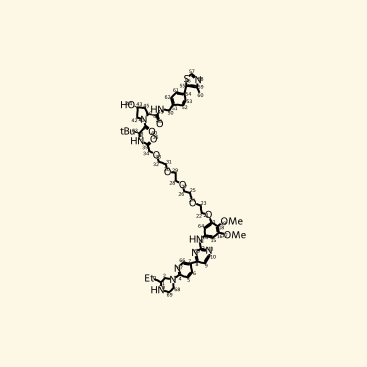 CCC1CN(c2ccc(-c3ccnc(Nc4cc(OC)c(OC)c(OCCOCCOCCOCCOCC(=O)N[C@H](C(=O)N5C[C@H](O)C[C@H]5C(=O)NCc5ccc(-c6scnc6C)cc5)C(C)(C)C)c4)n3)cn2)CCN1